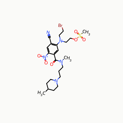 CC1CCN(CCCN(C)C(=O)c2cc(N(CCBr)CCOS(C)(=O)=O)c(C#N)cc2[N+](=O)[O-])CC1